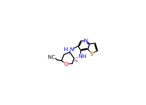 N#CCC1CC[C@H](Nc2c(N)cnc3ccsc23)CO1